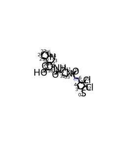 CSc1ccc(/C=C/C(=O)N2CCC(C(=O)NC(CC(=O)O)c3cnc4ccccc4c3)CC2)c(Cl)c1Cl